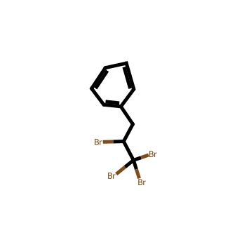 BrC(Cc1ccccc1)C(Br)(Br)Br